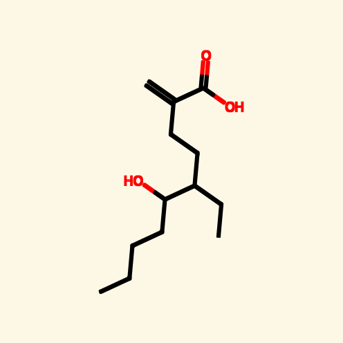 C=C(CCC(CC)C(O)CCCC)C(=O)O